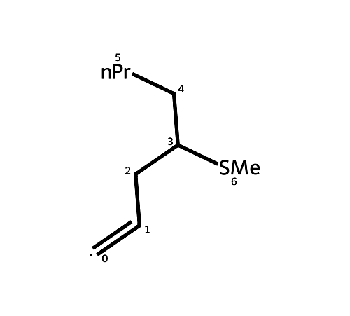 [CH]=CCC(CCCC)SC